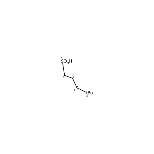 CC(C)(C)SCCS(=O)(=O)O